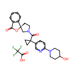 O=C(O)C(F)(F)F.O=C1O[C@]2(CCN(C(=O)C3(c4ccc(N5CCC(O)CC5)nc4)CC3)C2)c2ccccc21